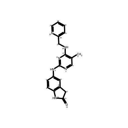 Cc1cnc(Nc2ccc3c(c2)CC(=O)N3)nc1NCc1ccccn1